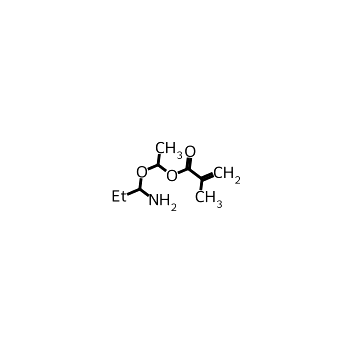 C=C(C)C(=O)OC(C)OC(N)CC